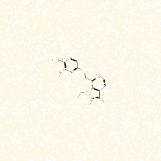 CCn1c(C)c(C)c2ccnc(COc3ccc(Cl)c(Cl)c3)c21